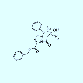 CC(C)(O)C1C(=O)N2C(C(=O)OCc3ccccc3)=CCC12Sc1ccccc1